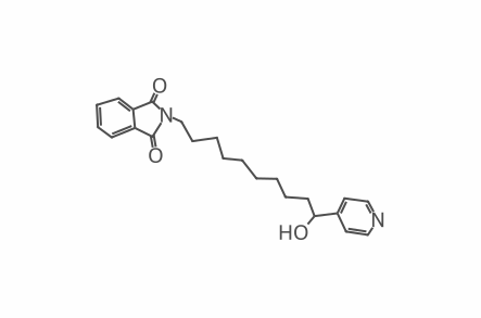 O=C1c2ccccc2C(=O)N1CCCCCCCCCC(O)c1ccncc1